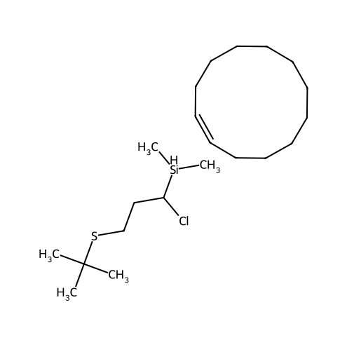 C1=CCCCCCCCCCC1.C[SiH](C)C(Cl)CCSC(C)(C)C